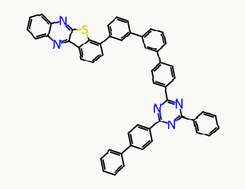 c1ccc(-c2ccc(-c3nc(-c4ccccc4)nc(-c4ccc(-c5cccc(-c6cccc(-c7cccc8c7sc7nc9ccccc9nc78)c6)c5)cc4)n3)cc2)cc1